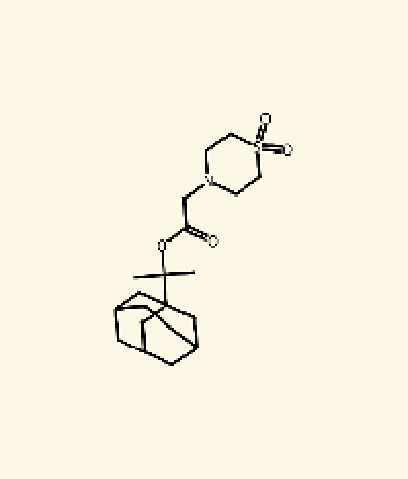 CC(C)(OC(=O)CN1CCS(=O)(=O)CC1)C12CC3CC(CC(C3)C1)C2